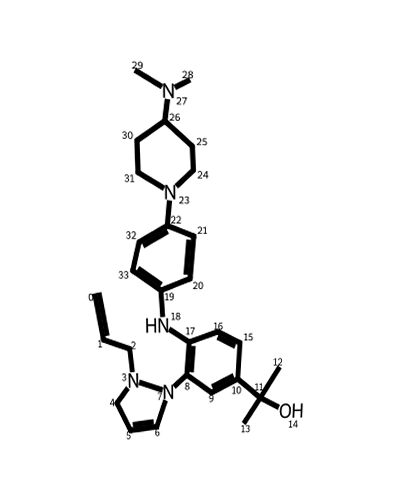 C=CCN1CC=CN1c1cc(C(C)(C)O)ccc1Nc1ccc(N2CCC(N(C)C)CC2)cc1